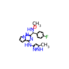 CONC(c1ccc(F)cc1)c1nc(Nc2cc(C)[nH]n2)c2cccn2n1